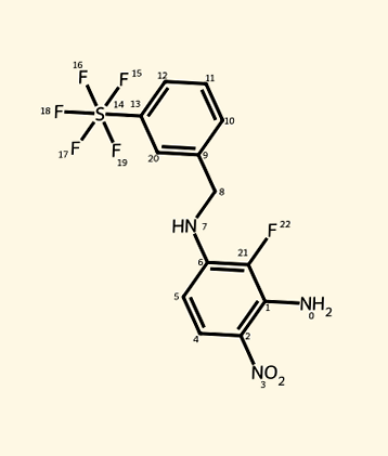 Nc1c([N+](=O)[O-])ccc(NCc2cccc(S(F)(F)(F)(F)F)c2)c1F